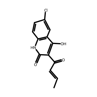 C/C=C/C(=O)c1c(O)c2cc(Cl)ccc2[nH]c1=O